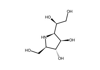 OC[C@H](O)[C@@H]1N[C@H](CO)[C@@H](O)[C@@H]1O